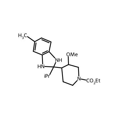 CCOC(=O)N1CCC(C2(C(C)C)Nc3ccc(C)cc3N2)C(OC)C1